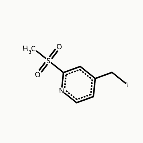 CS(=O)(=O)c1cc(CI)ccn1